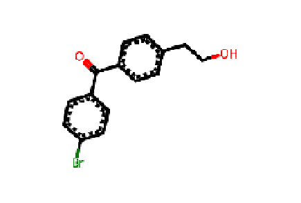 O=C(c1ccc(Br)cc1)c1ccc(CCO)cc1